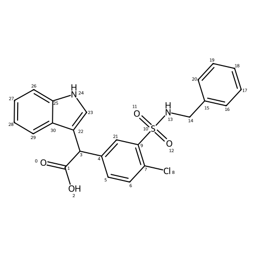 O=C(O)C(c1ccc(Cl)c(S(=O)(=O)NCc2ccccc2)c1)c1c[nH]c2ccccc12